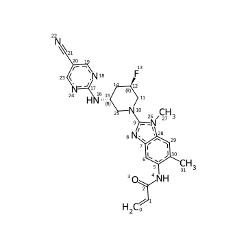 C=CC(=O)Nc1cc2nc(N3C[C@H](F)C[C@@H](Nc4ncc(C#N)cn4)C3)n(C)c2cc1C